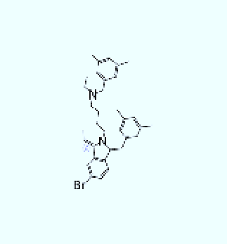 C/C=C1/c2cc(Br)ccc2C(Cc2cc(C)cc(C)c2)N1CCCCN(CC)Cc1cc(C)cc(C)c1